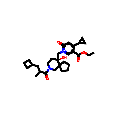 CCOC(=O)c1cn(C[C@]2(O)CCN(C(=O)C(C)CC3CCC3)CC23CCCC3)c(=O)cc1C1CC1